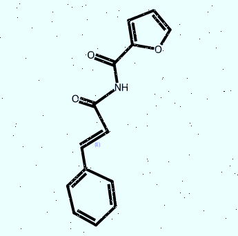 O=C(/C=C/c1ccccc1)NC(=O)c1ccco1